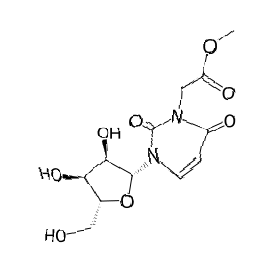 COC(=O)Cn1c(=O)ccn([C@@H]2O[C@H](CO)[C@@H](O)[C@H]2O)c1=O